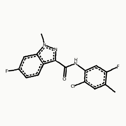 Cc1cc(Cl)c(NC(=O)c2nn(C)c3cc(F)ccc23)cc1F